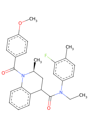 CCN(C(=O)C1C[C@H](C)N(C(=O)c2ccc(OC)cc2)c2ccccc21)c1ccc(C)c(F)c1